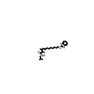 CC(C=CCCCCCCCOc1nc2ccccc2s1)=C(F)C(=O)NCC(C)C